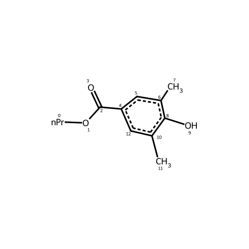 CCCOC(=O)c1cc(C)c(O)c(C)c1